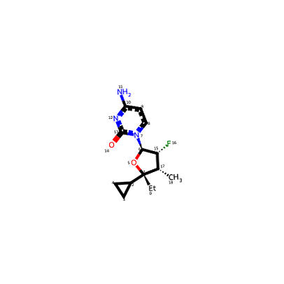 CC[C@@]1(C2CC2)O[C@@H](n2ccc(N)nc2=O)[C@H](F)[C@@H]1C